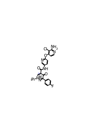 CC(C)N/C=C(/C(=O)Nc1ccc(Oc2ccnc(N)c2Cl)nc1)C(=O)C(=N)c1ccc(F)cc1